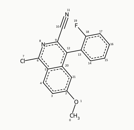 COc1ccc2c(Cl)nc(C#N)c(-c3ccccc3F)c2c1